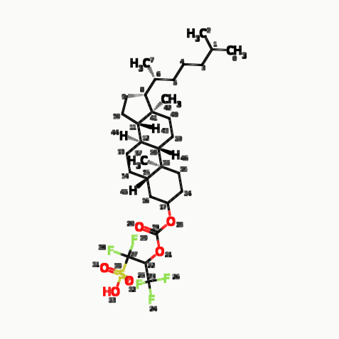 CC(C)CCC[C@@H](C)[C@H]1CC[C@H]2[C@@H]3CC[C@H]4CC(OC(=O)OC(C(F)(F)F)C(F)(F)S(=O)(=O)O)CC[C@]4(C)[C@H]3CC[C@]12C